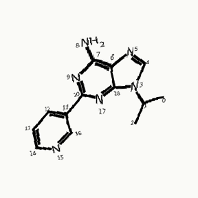 CC(C)n1cnc2c(N)nc(-c3cccnc3)nc21